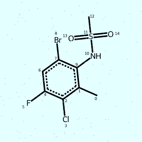 Cc1c(Cl)c(F)cc(Br)c1NS(C)(=O)=O